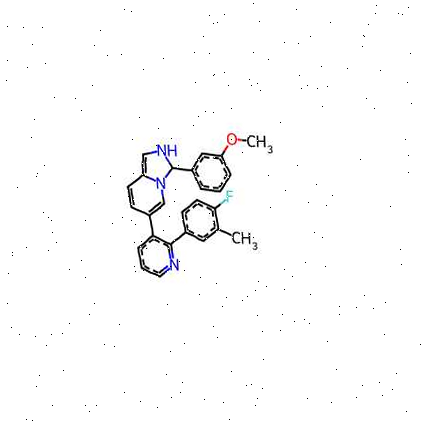 COc1cccc(C2NC=C3C=CC(c4cccnc4-c4ccc(F)c(C)c4)=CN32)c1